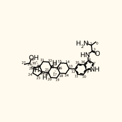 CC(N)C(=O)Nc1c[nH]c2ccc(C3CC[C@@]4(C)C(CC[C@H]5[C@@H]6CC[C@H](C(C)O)[C@@]6(C)CC[C@@H]54)C3)cc12